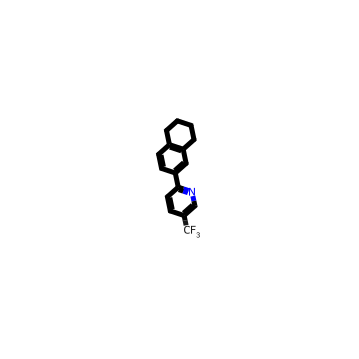 FC(F)(F)c1ccc(-c2ccc3c(c2)CCCC3)nc1